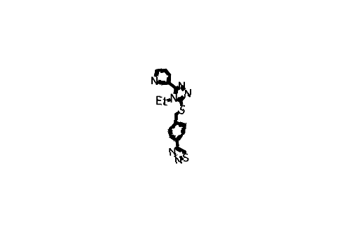 CCn1c(SCc2ccc(-c3csnn3)cc2)nnc1-c1cccnc1